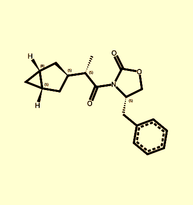 C[C@H](C(=O)N1C(=O)OC[C@@H]1Cc1ccccc1)[C@@H]1C[C@H]2C[C@H]2C1